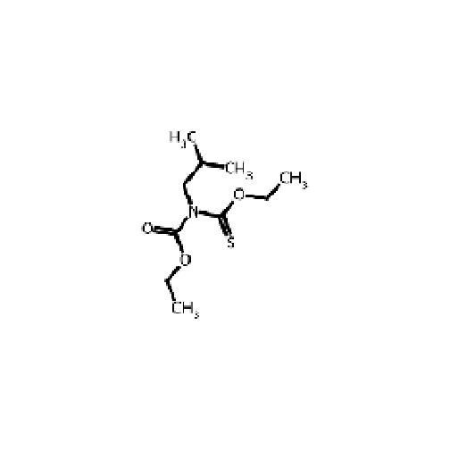 CCOC(=O)N(CC(C)C)C(=S)OCC